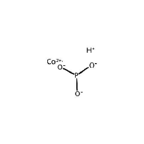 [Co+2].[H+].[O-]P([O-])[O-]